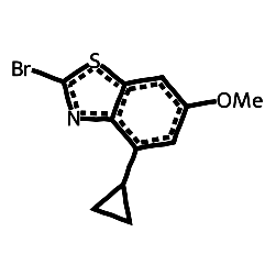 COc1cc(C2CC2)c2nc(Br)sc2c1